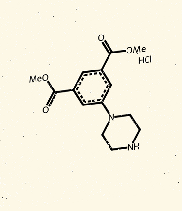 COC(=O)c1cc(C(=O)OC)cc(N2CCNCC2)c1.Cl